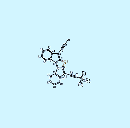 CC#CC1=c2sc3c(c2-c2ccccc21)-c1ccccc1C=3C#C[Si](CC)(CC)CC